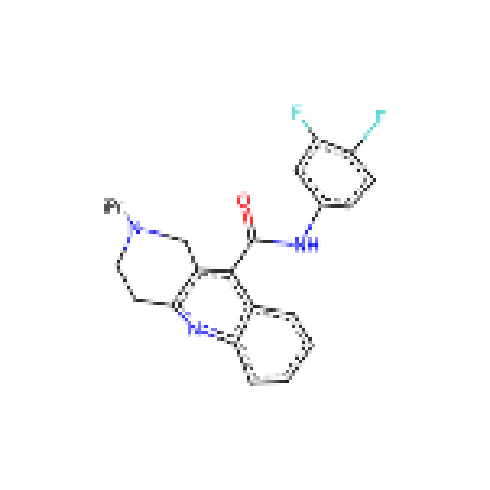 CC(C)N1CCc2nc3ccccc3c(C(=O)Nc3ccc(F)c(F)c3)c2C1